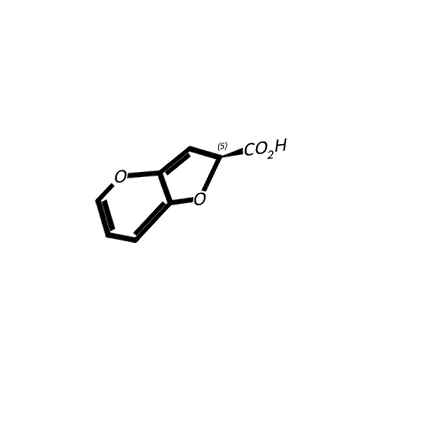 O=C(O)[C@@H]1C=C2OC=CC=C2O1